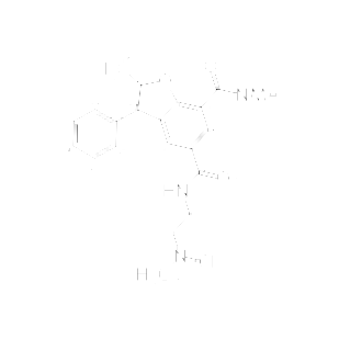 CNC(=O)c1cc(C(=O)NCCN(C)C)cc2c1OC(C)C2c1ccccc1